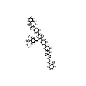 Cc1cc(C[C@@H](OC(=O)N2CCC(N3CCc4ccccc4NC3=O)CC2)C(=O)N2CCC(C3CCN(CC(=O)OCCCN4CCCCC4=O)CC3)CC2)cc(Cl)c1O